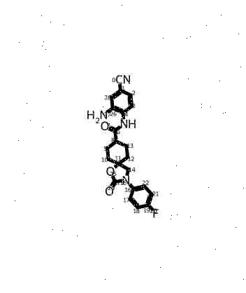 N#Cc1ccc(NC(=O)C2CCC3(CC2)CN(c2ccc(F)cc2)C(=O)O3)c(N)c1